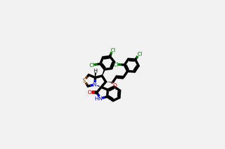 O=C(/C=C/c1ccc(Cl)cc1Cl)[C@H]1[C@H](c2ccc(Cl)cc2Cl)[C@H]2CSCN2[C@]12C(=O)Nc1ccccc12